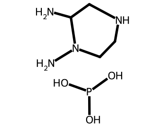 NC1CNCCN1N.OP(O)O